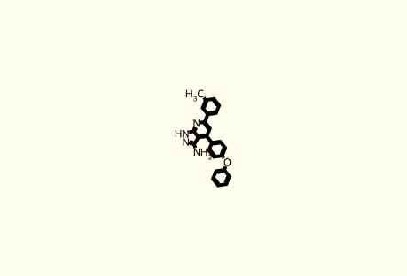 Cc1cccc(-c2cc(-c3ccc(Oc4ccccc4)cc3)c3c(N)n[nH]c3n2)c1